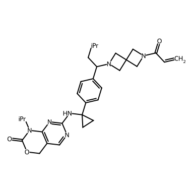 C=CC(=O)N1CC2(C1)CN(C(CC(C)C)c1ccc(C3(Nc4ncc5c(n4)N(C(C)C)C(=O)OC5)CC3)cc1)C2